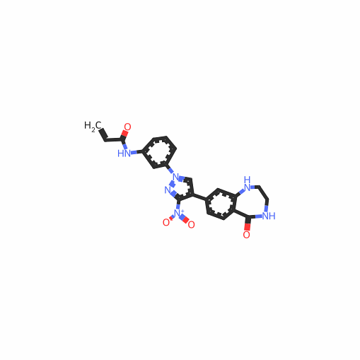 C=CC(=O)Nc1cccc(-n2cc(-c3ccc4c(c3)NCCNC4=O)c([N+](=O)[O-])n2)c1